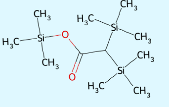 C[Si](C)(C)OC(=O)C([Si](C)(C)C)[Si](C)(C)C